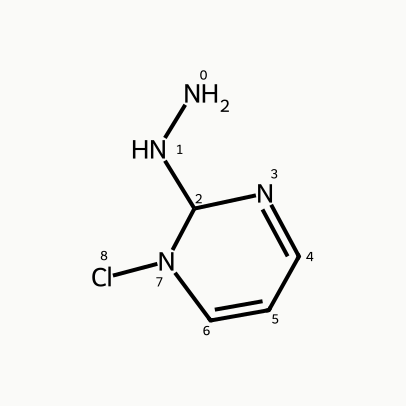 NNC1N=CC=CN1Cl